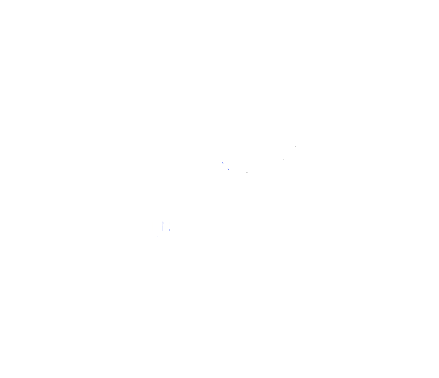 C=CCc1cc(NCCCCC)ccc1N